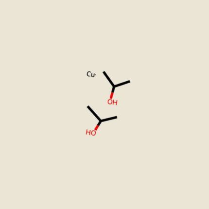 CC(C)O.CC(C)O.[Cu]